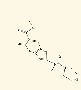 COC(=O)c1cc2sc(N(C)C(=O)N3CCOCC3)cc2oc1=O